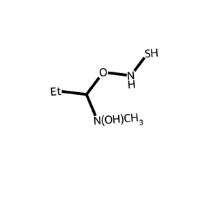 CCC(ONS)N(C)O